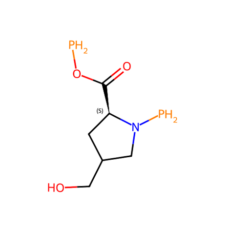 O=C(OP)[C@@H]1CC(CO)CN1P